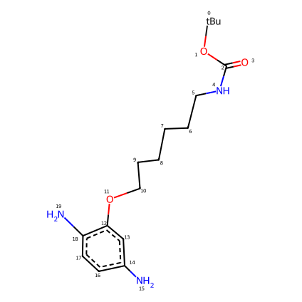 CC(C)(C)OC(=O)NCCCCCCOc1cc(N)ccc1N